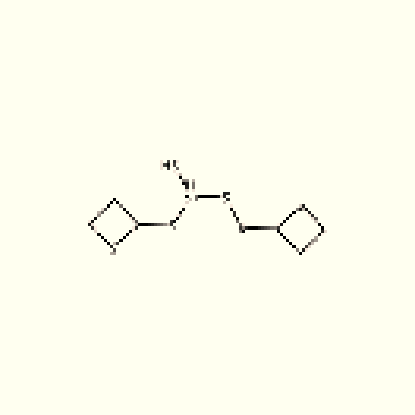 [SH][SnH]([S]SC1CCS1)[S]C1CCS1